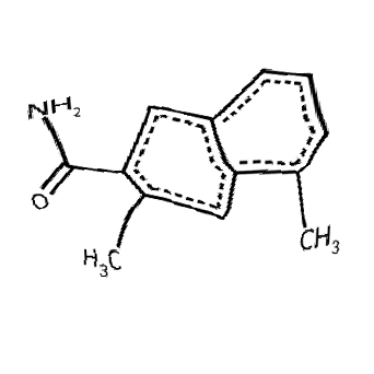 Cc1cc2c(C)cccc2cc1C(N)=O